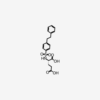 O=C(O)CC[C@H](NS(=O)(=O)c1ccc(CCc2ccccc2)cc1)C(=O)O